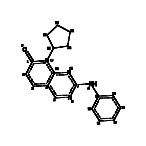 O=c1ccc2cnc(Nc3ccccc3)nc2n1C1CCCC1